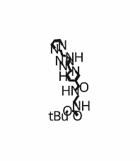 CC(C)(C)OC(=O)NCCNC(=O)c1ccc(C2=NNC(c3ncccn3)=NN2)nc1